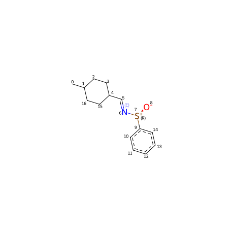 CC1CCC(/C=N/[S@@+]([O-])c2ccccc2)CC1